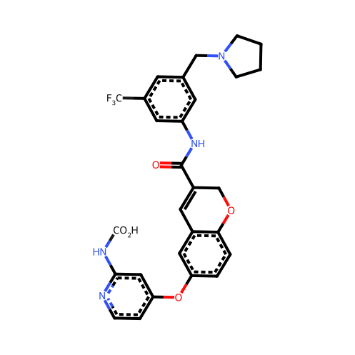 O=C(O)Nc1cc(Oc2ccc3c(c2)C=C(C(=O)Nc2cc(CN4CCCC4)cc(C(F)(F)F)c2)CO3)ccn1